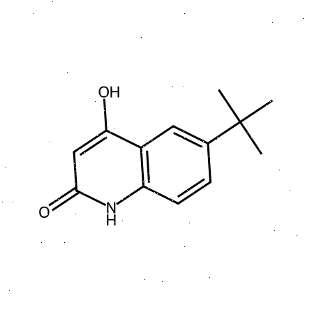 CC(C)(C)c1ccc2[nH]c(=O)cc(O)c2c1